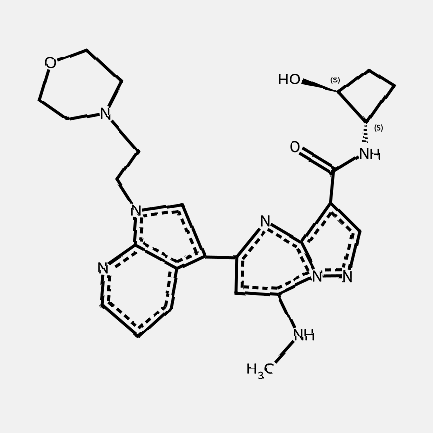 CNc1cc(-c2cn(CCN3CCOCC3)c3ncccc23)nc2c(C(=O)N[C@H]3CC[C@@H]3O)cnn12